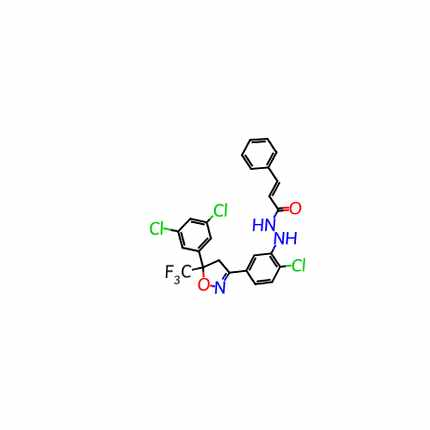 O=C(C=Cc1ccccc1)NNc1cc(C2=NOC(c3cc(Cl)cc(Cl)c3)(C(F)(F)F)C2)ccc1Cl